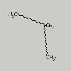 [CH2]CCCCCCCCCCCCCC(C)CCCCCCCCCCCCC[CH2]